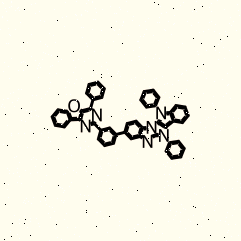 c1ccc(-c2nc(-c3cccc(-c4ccc5c(c4)nc4n(-c6ccccc6)c6c7ccccc7n(-c7ccccc7)c6n54)c3)nc3c2oc2ccccc23)cc1